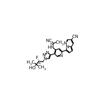 C[C@H](C#N)Nc1cc(-c2ccc3cc(C#N)cnn23)ncc1-c1cn(C[C@@H](F)C(C)(C)O)nn1